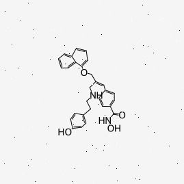 O=C(NO)c1ccc(C=C(CNCCc2ccc(O)cc2)COc2cccc3ccccc23)cc1